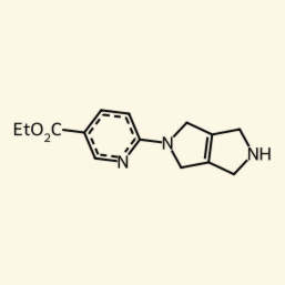 CCOC(=O)c1ccc(N2CC3=C(CNC3)C2)nc1